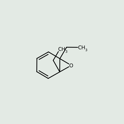 CCC12C=CC=CC1(CC)O2